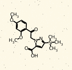 COc1ccc(C(=O)Cn2nc([Si](C)(C)C)cc2C(=O)O)c(OC)c1